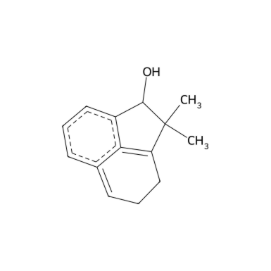 CC1(C)C2=c3c(cccc3=CCC2)C1O